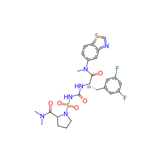 CN(C)C(=O)C1CCCN1S(=O)(=O)NC(=O)N[C@@H](Cc1cc(F)cc(F)c1)C(=O)N(C)c1ccc2scnc2c1